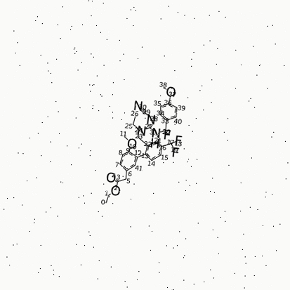 CCOC(=O)Cc1ccc(OC)c(-c2ccc(C(F)(F)F)cc2CN(CC)/C(=N\C#N)NCc2ccc(OC)cc2)c1